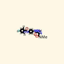 CNC(=O)c1nc[nH]c1C(=O)Nc1ccc(NC(=O)c2c(C)cc(F)cc2C)cc1